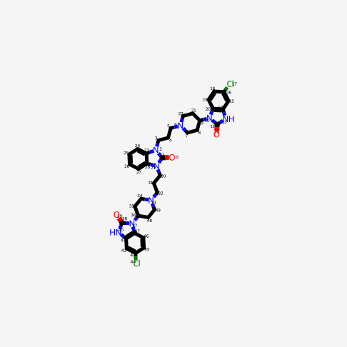 O=c1n(CCCN2CCC(n3c(=O)[nH]c4cc(Cl)ccc43)CC2)c2ccccc2n1CCCN1CCC(n2c(=O)[nH]c3cc(Cl)ccc32)CC1